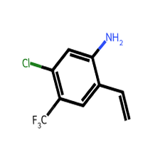 C=Cc1cc(C(F)(F)F)c(Cl)cc1N